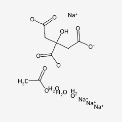 CC(=O)[O-].O.O.O.O=C([O-])CC(O)(CC(=O)[O-])C(=O)[O-].[Na+].[Na+].[Na+].[Na+]